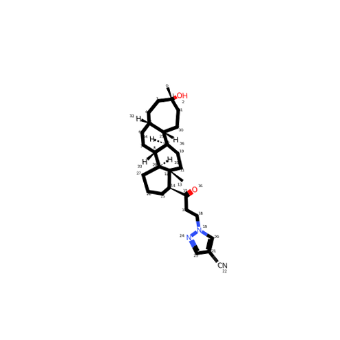 C[C@]1(O)CC[C@H]2CC[C@@H]3[C@H](CC[C@]4(C)[C@@H](C(=O)CCn5cc(C#N)cn5)CCC[C@@H]34)[C@H]2CC1